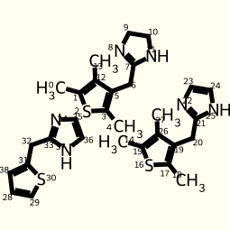 Cc1sc(C)c(CC2=NCCN2)c1C.Cc1sc(C)c(Cc2ncc[nH]2)c1C.c1csc(Cc2ncc[nH]2)c1